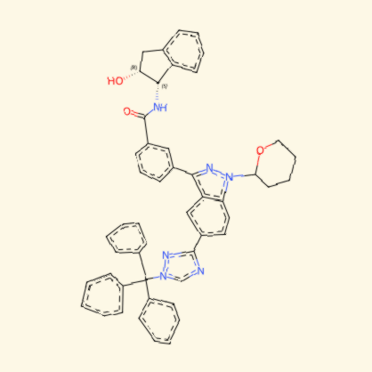 O=C(N[C@H]1c2ccccc2C[C@H]1O)c1cccc(-c2nn(C3CCCCO3)c3ccc(-c4ncn(C(c5ccccc5)(c5ccccc5)c5ccccc5)n4)cc23)c1